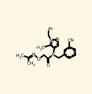 CC(C)=NOCC(=O)N(Cc1cccc(C#N)c1)c1cnn(CC(C)C)c1C